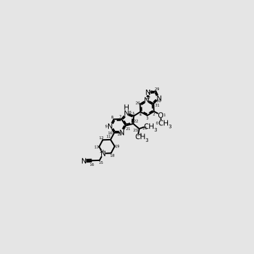 COc1cc(-c2[nH]c3cnc(C4CCN(CC#N)CC4)nc3c2C(C)C)cn2ncnc12